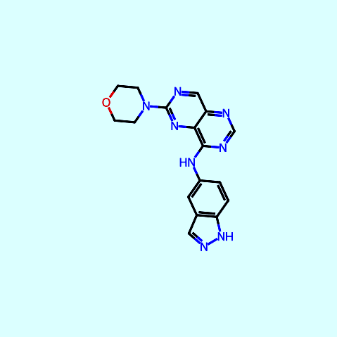 c1nc(Nc2ccc3[nH]ncc3c2)c2nc(N3CCOCC3)ncc2n1